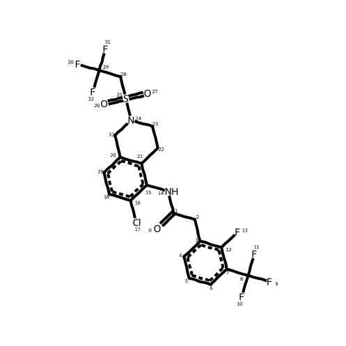 O=C(Cc1cccc(C(F)(F)F)c1F)Nc1c(Cl)ccc2c1CCN(S(=O)(=O)CC(F)(F)F)C2